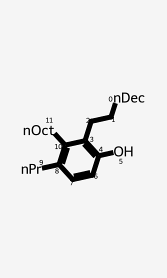 CCCCCCCCCCCCc1c(O)ccc(CCC)c1CCCCCCCC